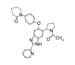 CC(=O)N1CCCC1c1cc2[nH]c(-c3ccccn3)nc2cc1Oc1ccc(N2CCCCC2=O)cc1